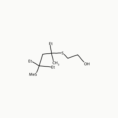 CCC(C)(CC(CC)(CC)SC)SCCO